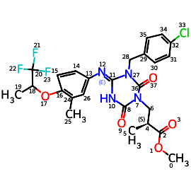 COC(=O)[C@@H](C)Cn1c(=O)[nH]/c(=N\c2ccc(OC(C)C(F)(F)F)c(C)c2)n(Cc2ccc(Cl)cc2)c1=O